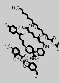 CC(C)=CCC/C(C)=C/CO.CCCCCCCCCCCCCC(=O)OC(C)C.Cc1ccc(C(C)C)c(O)c1.NC(=O)C1(N2CCCCC2)CCN(CCCC(=O)c2ccc(F)cc2)CC1.O=Cc1ccc2c(c1)OCO2